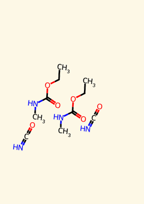 CCOC(=O)NC.CCOC(=O)NC.N=C=O.N=C=O